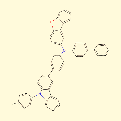 Cc1ccc(-n2c3ccccc3c3cc(-c4ccc(N(c5ccc(-c6ccccc6)cc5)c5ccc6oc7ccccc7c6c5)cc4)ccc32)cc1